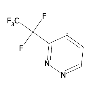 FC(F)(F)C(F)(F)c1[c]ccnn1